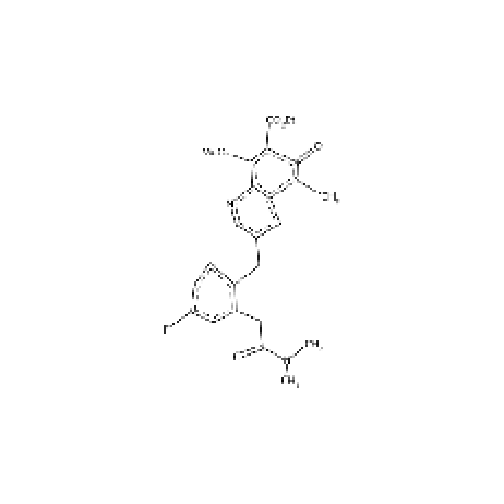 CCOC(=O)c1c(OC)c2ncc(Cc3ccc(F)cc3CC(=O)N(C)C)cc2n(C)c1=O